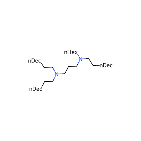 CCCCCCCCCCCCN(CCCCCC)CCCN(CCCCCCCCCCCC)CCCCCCCCCCCC